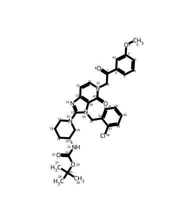 COc1cccc(C(=O)Cn2ccc3nc(N4CCC[C@@H](NC(=O)OC(C)(C)C)C4)n(Cc4ccccc4Cl)c3c2=O)c1